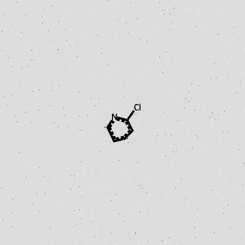 Clc1c[c]c[c]n1